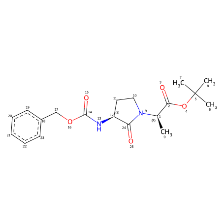 C[C@H](C(=O)OC(C)(C)C)N1CC[C@H](NC(=O)OCc2ccccc2)C1=O